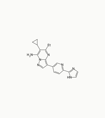 CCc1nc2c(-c3ccc(-c4ncc[nH]4)nc3)cnn2c(N)c1C1CC1